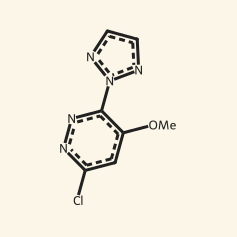 COc1cc(Cl)nnc1-n1nccn1